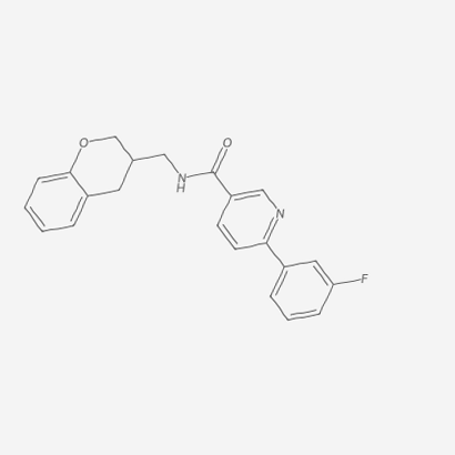 O=C(NCC1COc2ccccc2C1)c1ccc(-c2cccc(F)c2)nc1